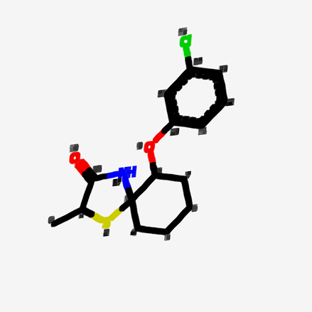 CC1SC2(CCCCC2Oc2cccc(Cl)c2)NC1=O